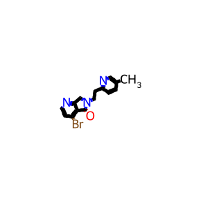 Cc1ccc(CCN2Cc3nccc(Br)c3C2=O)nc1